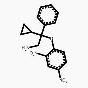 NCC(Oc1ccc([N+](=O)[O-])cc1[N+](=O)[O-])(c1ccccc1)C1CC1